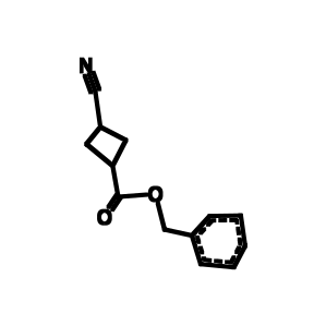 N#CC1CC(C(=O)OCc2ccccc2)C1